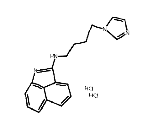 Cl.Cl.c1cc2c3c(cccc3c1)C(NCCCCn1ccnc1)=N2